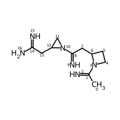 CC(=N)N1CCC1CC(=N)N1CC1CC(=N)N